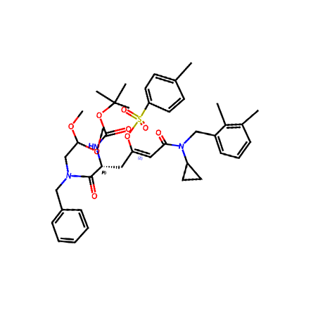 COC(CN(Cc1ccccc1)C(=O)[C@@H](C/C(=C/C(=O)N(Cc1cccc(C)c1C)C1CC1)OS(=O)(=O)c1ccc(C)cc1)NC(=O)OC(C)(C)C)OC